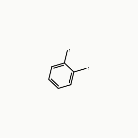 [CH]c1ccccc1[CH]